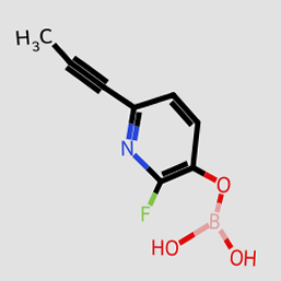 CC#Cc1ccc(OB(O)O)c(F)n1